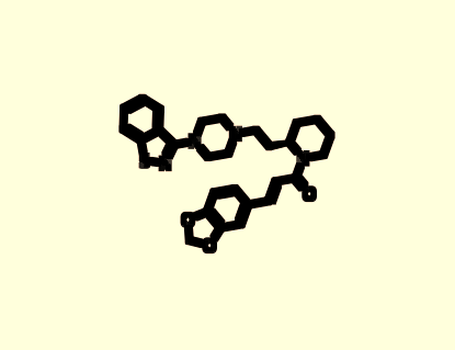 O=C(/C=C/c1ccc2c(c1)OCO2)N1CCCC[C@@H]1CCN1CCN(c2nsc3ccccc23)CC1